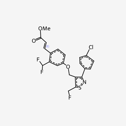 COC(=O)/C=C/c1ccc(OCc2c(-c3ccc(Cl)cc3)nsc2CF)cc1C(F)F